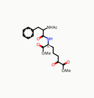 COC(=O)C(=O)CCC[C@H](NC(=O)C(Cc1ccccc1)NC(C)=O)C(=O)OC